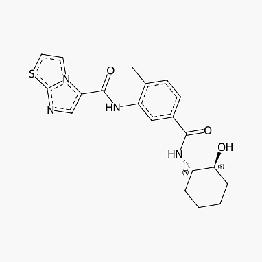 Cc1ccc(C(=O)N[C@H]2CCCC[C@@H]2O)cc1NC(=O)c1cnc2sccn12